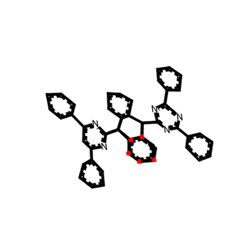 c1ccc(-c2cc(-c3ccccc3)nc(C34c5ccccc5C(c5nc(-c6ccccc6)nc(-c6ccccc6)n5)(c5ccccc53)c3ccccc34)n2)cc1